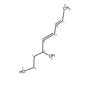 CC=CC=CC(O)CCO